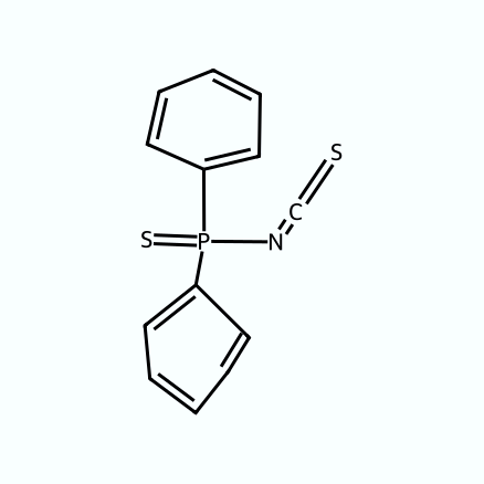 S=C=NP(=S)(c1ccccc1)c1ccccc1